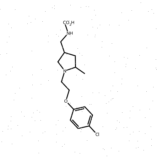 CC1CC(CNC(=O)O)CN1CCOc1ccc(Cl)cc1